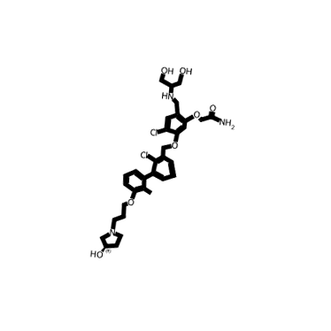 Cc1c(OCCCN2CC[C@@H](O)C2)cccc1-c1cccc(COc2cc(OCC(N)=O)c(CNC(CO)CO)cc2Cl)c1Cl